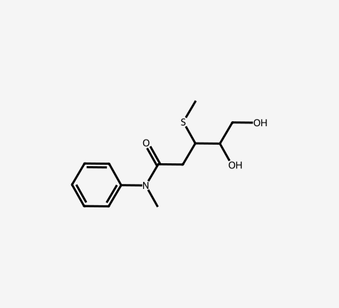 CSC(CC(=O)N(C)c1ccccc1)C(O)CO